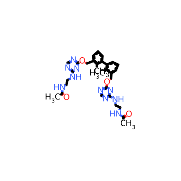 CC(=O)NCCNc1ncnc(OCc2cccc(-c3cccc(COc4ncnc(NCCNC(C)=O)n4)c3C)c2C)n1